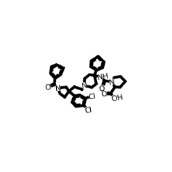 O=C(O)C1CCCCN1C(=O)NC1(c2ccccc2)CCN(CCC2(c3ccc(Cl)c(Cl)c3)CCN(C(=O)c3ccccc3)C2)CC1